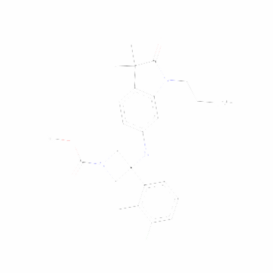 COCCN1C(=O)C(C)(C)c2ccc(NC3(c4cccc(Cl)c4C)CN(C(=O)OC(C)(C)C)C3)cc21